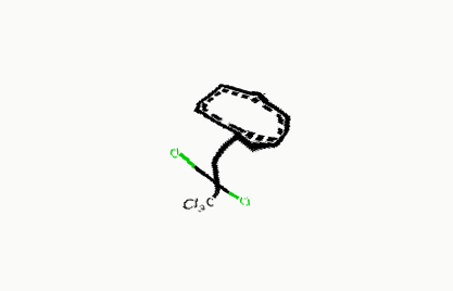 ClC(Cl)(Cl)C(Cl)(Cl)c1cc[c]cc1